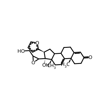 C[C@]12CCC(=O)C=C1CCC1C2=CC[C@@]2(C)C1C[C@H](c1ccco1)[C@]2(O)C1OC1CO